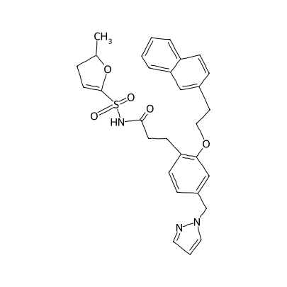 CC1CC=C(S(=O)(=O)NC(=O)CCc2ccc(Cn3cccn3)cc2OCCc2ccc3ccccc3c2)O1